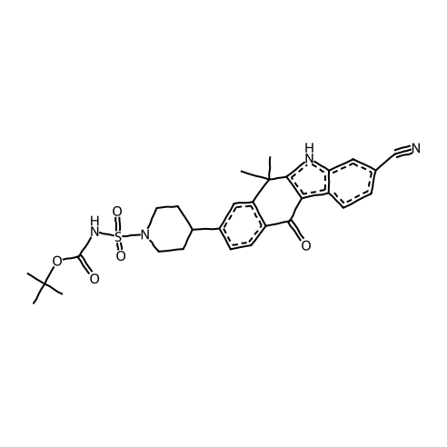 CC(C)(C)OC(=O)NS(=O)(=O)N1CCC(c2ccc3c(c2)C(C)(C)c2[nH]c4cc(C#N)ccc4c2C3=O)CC1